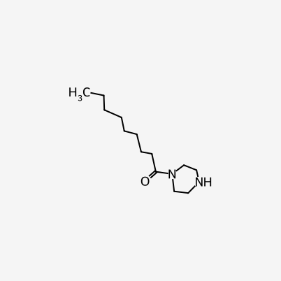 CCCCCCCCC(=O)N1CCNCC1